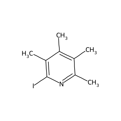 Cc1nc(I)c(C)c(C)c1C